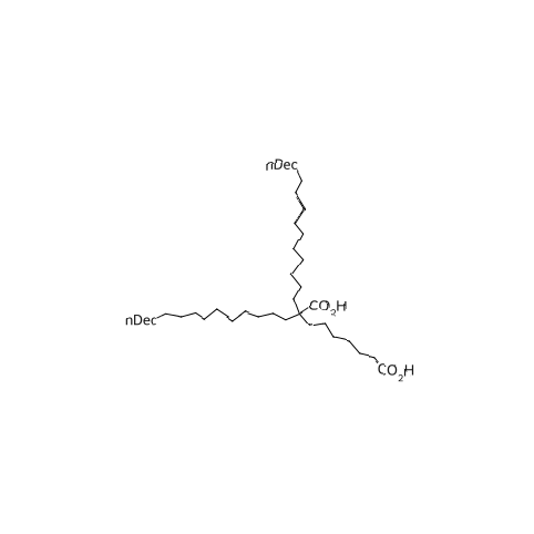 CCCCCCCCCCCCCCCCCCCCC(CCCCCCCCCCCCCCCCCCCC)(CCCCCCC(=O)O)C(=O)O